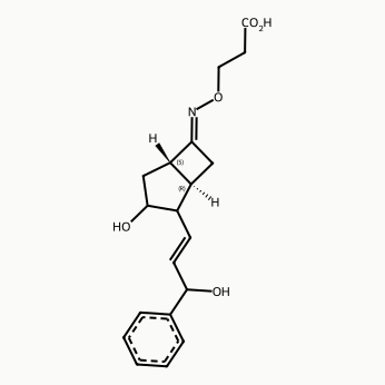 O=C(O)CCON=C1C[C@H]2C(C=CC(O)c3ccccc3)C(O)C[C@H]12